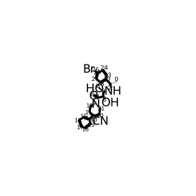 C[C@H](N[C@H](O)[C@@H](O)C(=O)N1CCC(C#N)(c2ccccc2)CC1)c1ccc(Br)cc1